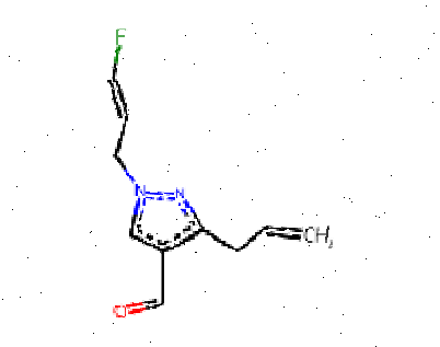 C=CCc1nn(CC=CF)cc1C=O